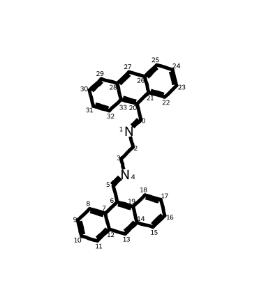 C(=N\CC/N=C/c1c2ccccc2cc2ccccc12)/c1c2ccccc2cc2ccccc12